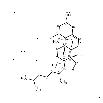 CC(C)CCC[C@@H](C)[C@H]1CC[C@H]2[C@@H]3CC=C4C[C@@H](O)CC(Cl)[C@]4(C)[C@H]3CC[C@]12C